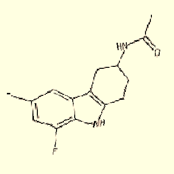 CC(=O)NC1CCc2[nH]c3c(F)cc(F)cc3c2C1